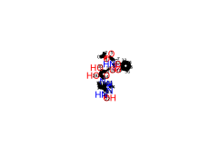 CC(C)OC(=O)[C@H](C)N[P@@](=O)(OC[C@H]1O[C@@H](n2ccc3c(NO)ncnc32)[C@H](O)[C@@H]1O)Oc1ccccc1